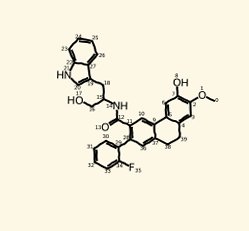 COc1cc2c(cc1O)-c1cc(C(=O)NC(CO)Cc3c[nH]c4ccccc34)c(-c3ccccc3F)cc1CC2